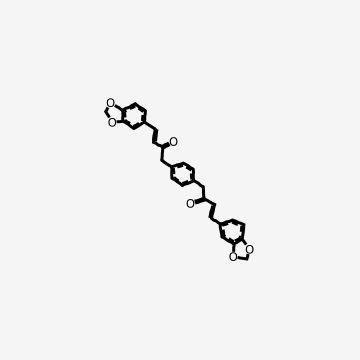 O=C(C=Cc1ccc2c(c1)OCO2)Cc1ccc(CC(=O)C=Cc2ccc3c(c2)OCO3)cc1